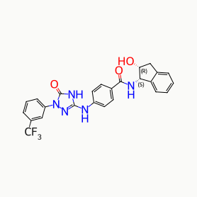 O=C(N[C@H]1c2ccccc2C[C@H]1O)c1ccc(Nc2nn(-c3cccc(C(F)(F)F)c3)c(=O)[nH]2)cc1